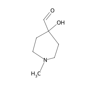 CN1CCC(O)(C=O)CC1